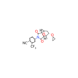 CC12C[C@H](OC3CC3)C(C)(O1)[C@@H]1C(=O)N(c3ccc(C#N)c(C(F)(F)F)c3)C(=O)[C@@H]12